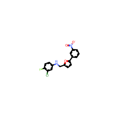 O=[N+]([O-])c1cccc(-c2ccc(CNc3ccc(F)c(Cl)c3)o2)c1